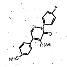 COc1c(-c2ccc(SC)cc2)cnn(-c2ccc(F)cc2)c1=O